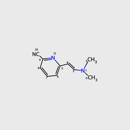 CN(C)C=Cc1cccc(C#N)n1